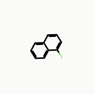 Fc1cc[c]c2ccccc12